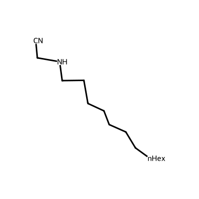 CCCCCCCCCCCCCNCC#N